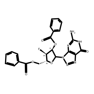 Nc1nc2c(nnn2C2O[C@H](COC(=O)c3ccccc3)[C@@H](F)[C@H]2OC(=O)c2ccccc2)c(=O)[nH]1